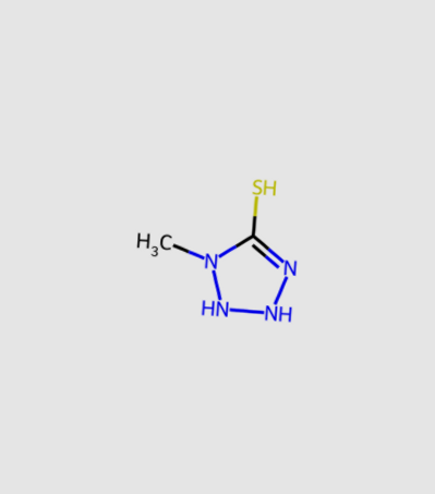 CN1NNN=C1S